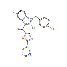 Cc1ccc2c(c1)c(C(=O)c1cnc(-c3cccnc3)o1)c(Cl)n2Cc1ccc(Cl)cc1